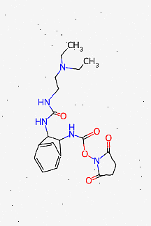 CCN(CC)CCNC(=O)NC1c2cccc(c2)C1NC(=O)ON1C(=O)CCC1=O